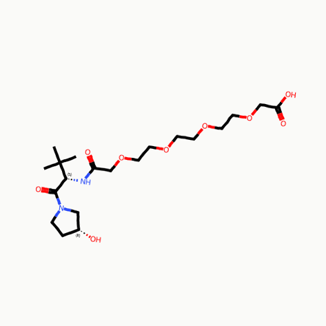 CC(C)(C)[C@H](NC(=O)COCCOCCOCCOCC(=O)O)C(=O)N1CC[C@@H](O)C1